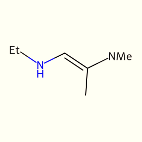 CCN/C=C(\C)NC